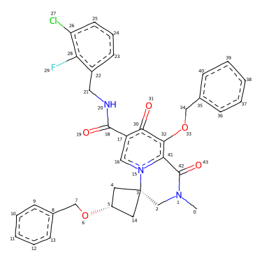 CN1C[C@]2(C[C@@H](OCc3ccccc3)C2)n2cc(C(=O)NCc3cccc(Cl)c3F)c(=O)c(OCc3ccccc3)c2C1=O